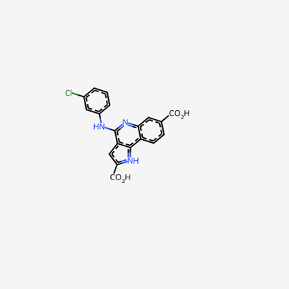 O=C(O)c1ccc2c(c1)nc(Nc1cccc(Cl)c1)c1cc(C(=O)O)[nH]c12